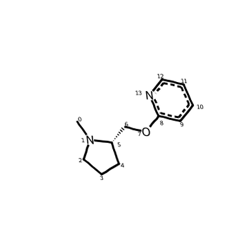 CN1CCC[C@H]1COc1ccccn1